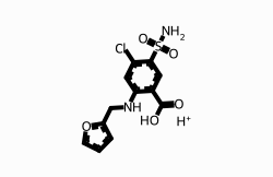 NS(=O)(=O)c1cc(C(=O)O)c(NCc2ccco2)cc1Cl.[H+]